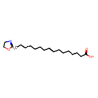 C1=NCCO1.CCCCCCCCCCCCCCCC(=O)O